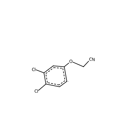 N#CCOc1[c]cc(Cl)c(Cl)c1